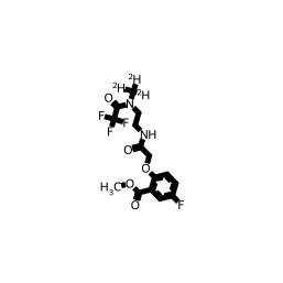 [2H]C([2H])([2H])N(CCNC(=O)COc1ccc(F)cc1C(=O)OC)C(=O)C(F)(F)F